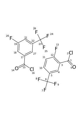 O=C(Cl)c1cc(C(F)(F)F)ccc1F.O=C(Cl)c1cc(F)cc(C(F)(F)F)c1